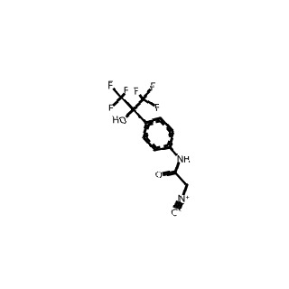 [C-]#[N+]CC(=O)Nc1ccc(C(O)(C(F)(F)F)C(F)(F)F)cc1